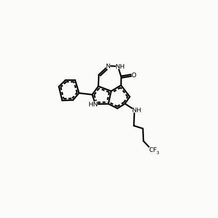 O=C1NN=Cc2c(-c3ccccc3)[nH]c3cc(NCCCC(F)(F)F)cc1c23